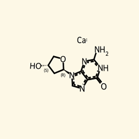 Nc1nc2c(ncn2[C@H]2C[C@H](O)CO2)c(=O)[nH]1.[Ca]